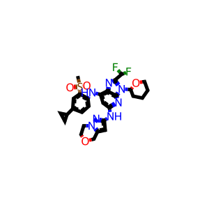 CS(=O)(=O)c1cc(C2CC2)ccc1Nc1cc(Nc2cc3n(n2)CCOC3)nc2c1nc(C(F)F)n2C1CCCCO1